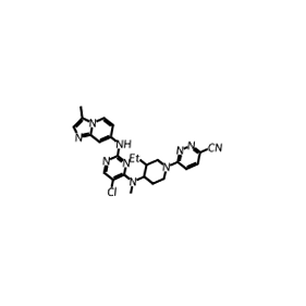 CCC1CN(c2ccc(C#N)nn2)CCC1N(C)c1nc(Nc2ccn3c(C)cnc3c2)ncc1Cl